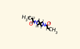 CCC(=O)N1CC2(C1)CN(C(=O)CC)C2